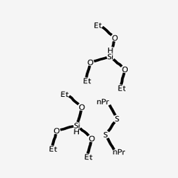 CCCSSCCC.CCO[SiH](OCC)OCC.CCO[SiH](OCC)OCC